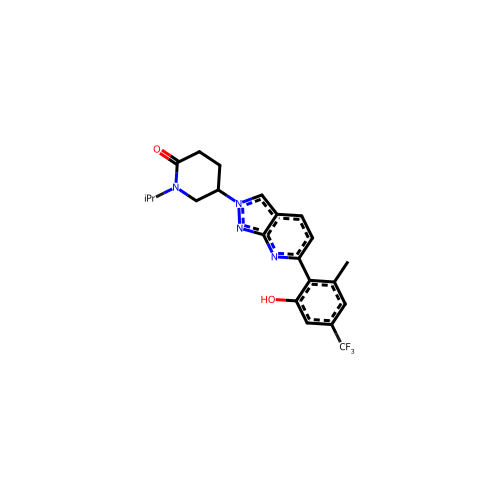 Cc1cc(C(F)(F)F)cc(O)c1-c1ccc2cn(C3CCC(=O)N(C(C)C)C3)nc2n1